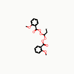 [CH2]C[C](OOC(=O)c1ccccc1OC)OOC(=O)c1ccccc1OC